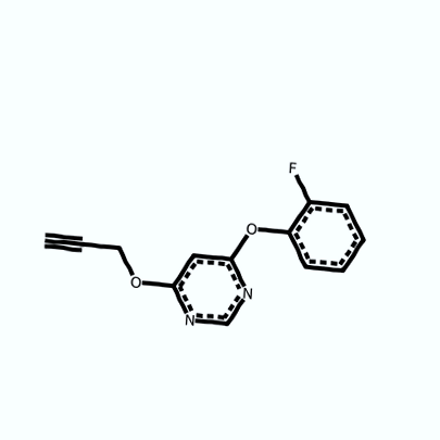 C#CCOc1cc(Oc2ccccc2F)ncn1